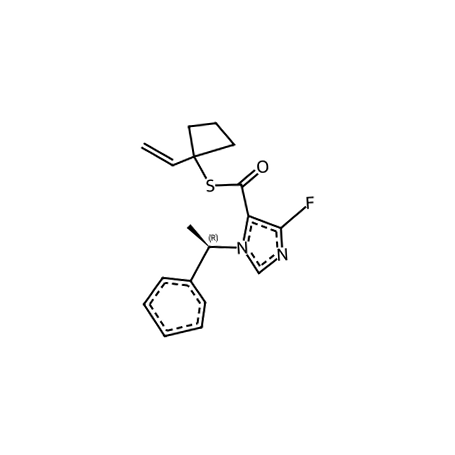 C=CC1(SC(=O)c2c(F)ncn2[C@H](C)c2ccccc2)CCC1